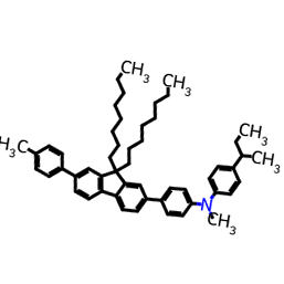 CCCCCCCCC1(CCCCCCCC)c2cc(-c3ccc(C)cc3)ccc2-c2ccc(-c3ccc(N(C)c4ccc(C(C)CC)cc4)cc3)cc21